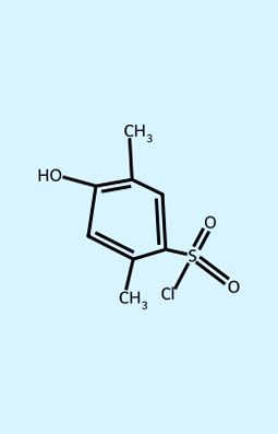 Cc1cc(S(=O)(=O)Cl)c(C)cc1O